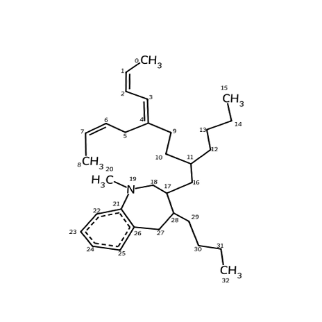 C/C=C\C=C(/C/C=C\C)CCC(CCCC)CC1CN(C)c2ccccc2CC1CCCC